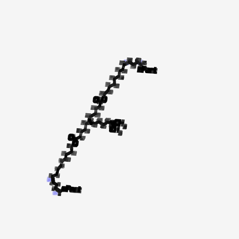 CCCCC/C=C\C/C=C\CCCCCCCCOC(=O)CCCCN(CCCCC(=O)OCCCCCCCC/C=C\C/C=C\CCCCC)CCCCN(C)C